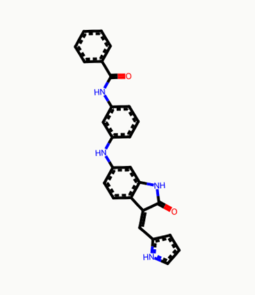 O=C1Nc2cc(Nc3cccc(NC(=O)c4ccccc4)c3)ccc2C1=Cc1ccc[nH]1